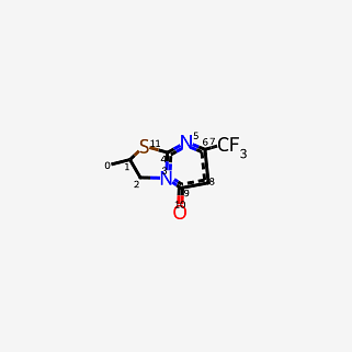 CC1Cn2c(nc(C(F)(F)F)cc2=O)S1